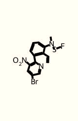 C=Cc1c(-c2ncc(Br)cc2[N+](=O)[O-])cccc1N(C)SF